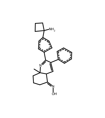 CC12CCC/C(=N\O)C1C=C(c1ccccc1)C(c1ccc(C3(N)CCC3)cc1)=N2